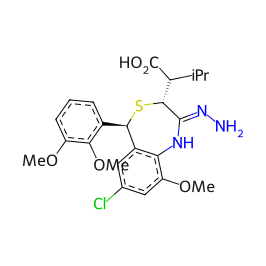 COc1cc(Cl)cc2c1NC(=NN)[C@@H](C(C(=O)O)C(C)C)S[C@@H]2c1cccc(OC)c1OC